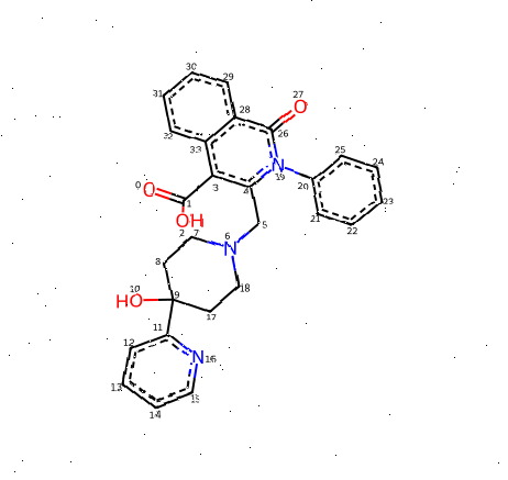 O=C(O)c1c(CN2CCC(O)(c3ccccn3)CC2)n(-c2ccccc2)c(=O)c2ccccc12